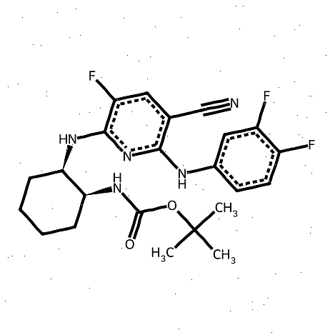 CC(C)(C)OC(=O)N[C@H]1CCCC[C@H]1Nc1nc(Nc2ccc(F)c(F)c2)c(C#N)cc1F